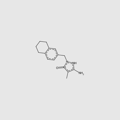 Cc1c(N)[nH]n(Cc2ccc3c(c2)CCCC3)c1=O